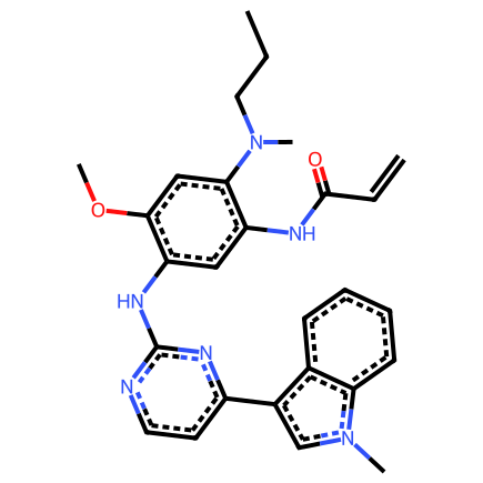 C=CC(=O)Nc1cc(Nc2nccc(-c3cn(C)c4ccccc34)n2)c(OC)cc1N(C)CCC